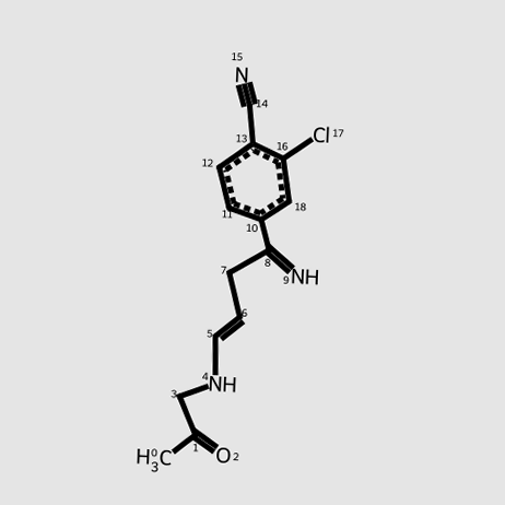 CC(=O)CNC=CCC(=N)c1ccc(C#N)c(Cl)c1